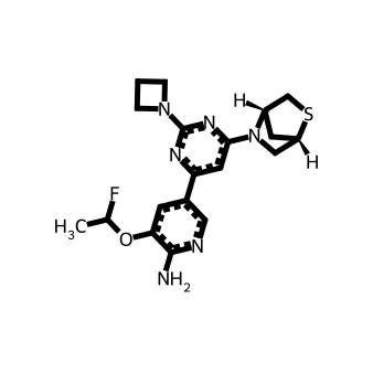 CC(F)Oc1cc(-c2cc(N3C[C@@H]4C[C@H]3CS4)nc(N3CCC3)n2)cnc1N